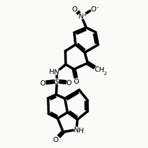 C=C1C(=O)C(NS(=O)(=O)c2ccc3c4c(cccc24)NC3=O)Cc2cc([N+](=O)[O-])ccc21